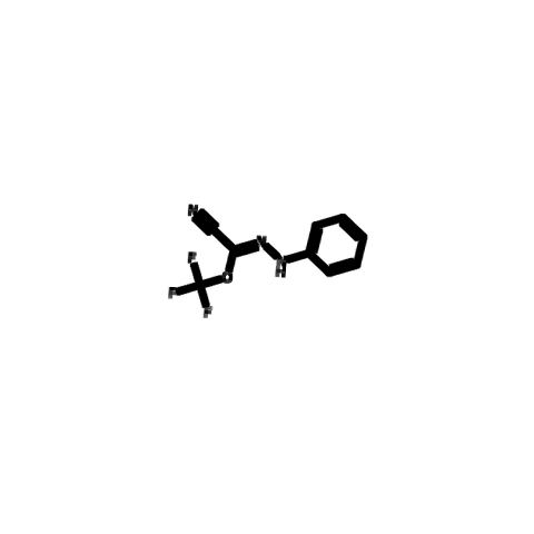 N#CC(=NNc1ccccc1)OC(F)(F)F